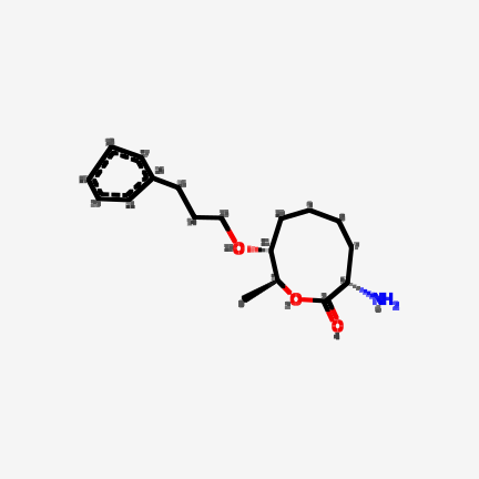 C[C@@H]1OC(=O)[C@@H](N)CCCC[C@H]1OCCCc1ccccc1